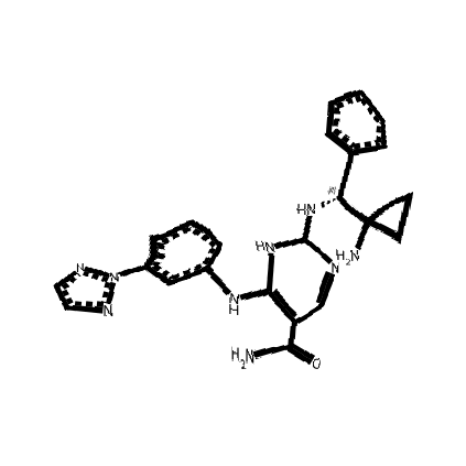 NC(=O)C1=C(Nc2cccc(-n3nccn3)c2)NC(N[C@H](c2ccccc2)C2(N)CC2)N=C1